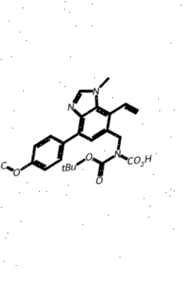 C=Cc1c(CN(C(=O)O)C(=O)OC(C)(C)C)cc(-c2ccc(OC(F)(F)F)cc2)c2ncn(C)c12